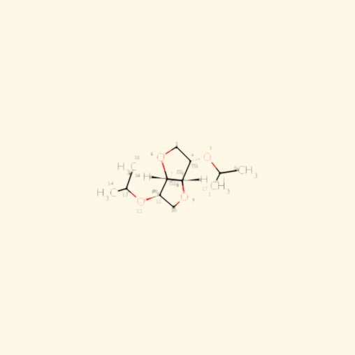 CC(C)O[C@H]1CO[C@@H]2[C@H]1OC[C@H]2OC(C)C